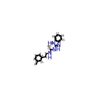 Cc1cccc(CCNC(=S)Nc2nc3ccccc3[nH]2)c1